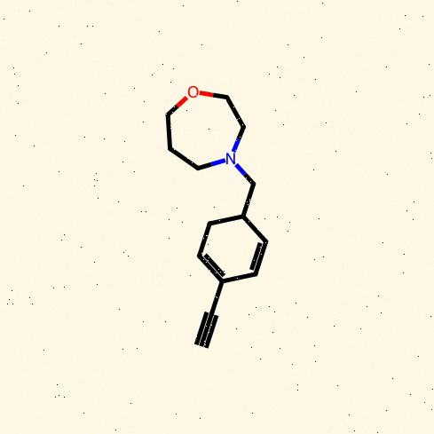 C#CC1=CCC(CN2CCCOCC2)C=C1